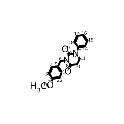 COc1ccc(CN2C(=O)CCN(c3ccccc3)C2=O)cc1